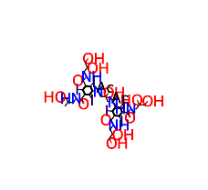 CC(=O)N(CC(O)CN(C(C)=O)c1c(I)c(C(=O)NCC(O)CO)c(I)c(C(=O)NCC(O)CO)c1I)c1c(I)c(C(=O)NCC(C)CO)c(I)c(C(=O)NCC(O)CO)c1I